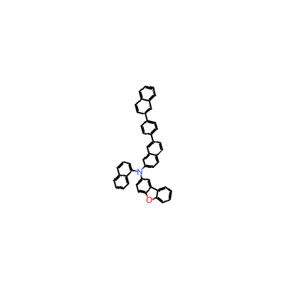 c1ccc2cc(-c3ccc(-c4ccc5ccc(N(c6ccc7oc8ccccc8c7c6)c6cccc7ccccc67)cc5c4)cc3)ccc2c1